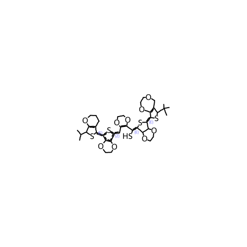 CC(C)C1S/C(=c2/s/c(=C\C3=C(C(/S)=C4\S/C(=C5/SC(C(C)(C)C)C6=C5OCCOC6)C5OCCOC45)OCCO3)c3c2OCCO3)C2=C1OCCC2